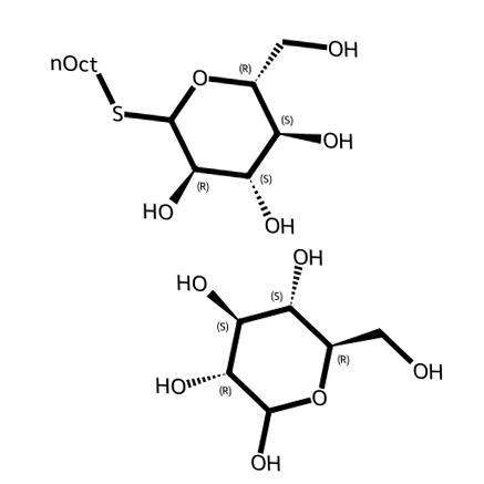 CCCCCCCCSC1O[C@H](CO)[C@@H](O)[C@H](O)[C@H]1O.OC[C@H]1OC(O)[C@H](O)[C@@H](O)[C@@H]1O